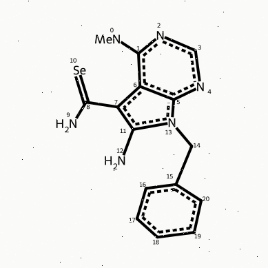 CNc1ncnc2c1c(C(N)=[Se])c(N)n2Cc1ccccc1